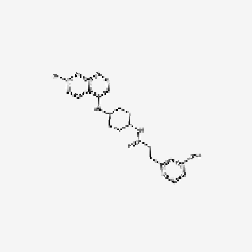 COc1cccc(CCC(=O)NC2CCC(Nc3ccnc4cc(Cl)ccc34)CC2)c1